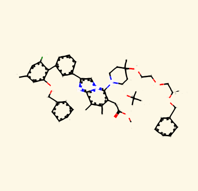 COC(=O)[C@@H](OC(C)(C)C)c1c(C)c(C)c2nc(-c3cccc(-c4c(F)cc(C)cc4OCc4ccccc4)c3)cn2c1N1CCC(C)(OCCOC[C@@H](C)OCc2ccccc2)CC1